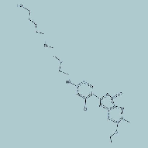 CCOc1cc2oc(-c3ccc(NCCOCCOCCOCCO)cc3Cl)cc(=O)c2cc1C